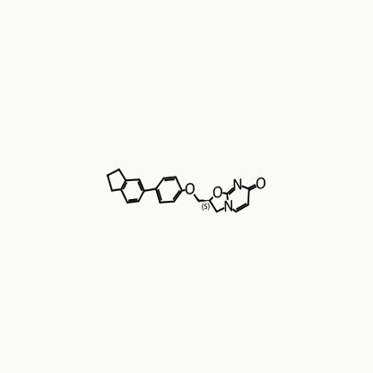 O=c1ccn2c(n1)O[C@H](COc1ccc(-c3ccc4c(c3)CCC4)cc1)C2